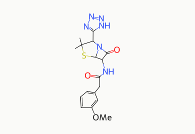 COc1cccc(CC(=O)NC2C(=O)N3C2SC(C)(C)C3c2nnn[nH]2)c1